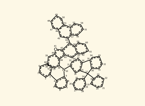 c1ccc(-c2ccccc2N(c2ccc3c(c2)C(c2ccccc2)(c2ccccc2)c2ccccc2-3)c2cccc3oc4c(-c5cc6ccccc6c6ccccc56)c5ccccc5cc4c23)cc1